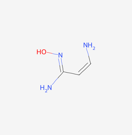 N/C=C\C(N)=NO